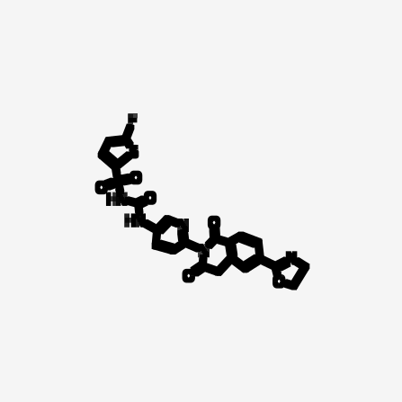 O=C(Nc1ccc(N2C(=O)Cc3cc(C4=NCCO4)ccc3C2=O)nc1)NS(=O)(=O)c1ccc(F)s1